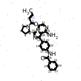 C/C=C/C(=O)N1CCC[C@H]1c1nc(-c2ccc(NC(=O)c3ccccc3)cc2)c2c(N)nccn12